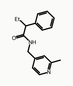 CCC(C(=O)NCc1ccnc(C)c1)c1ccccc1